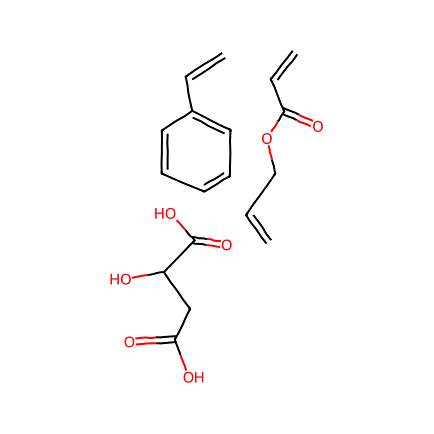 C=CCOC(=O)C=C.C=Cc1ccccc1.O=C(O)CC(O)C(=O)O